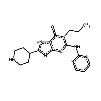 CCCn1c(Nc2ncccn2)nc2nc(C3CCNCC3)[nH]c2c1=O